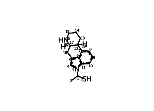 CC(S)n1cc2c3c(cccc31)[C@H]1CCCN[C@@H]1C2